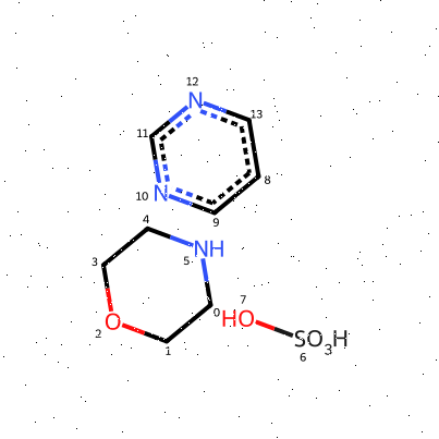 C1COCCN1.O=S(=O)(O)O.c1cncnc1